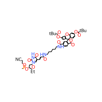 CC[C@H]1O[C@@H](n2cc(/C=C/C(=O)NCCCCCCNC(=O)c3ccc4c(c3)C3(OC4=O)c4ccc(OC(=O)C(C)(C)C)cc4Oc4cc(OC(=O)C(C)(C)C)ccc43)c(=O)[nH]c2=O)C[C@H]1OP(C)OCCC#N